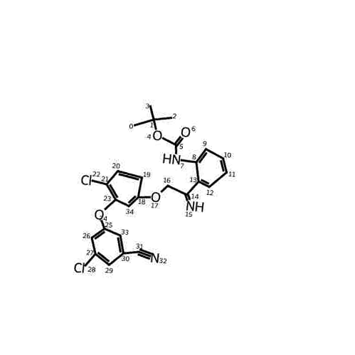 CC(C)(C)OC(=O)Nc1ccccc1C(=N)COc1ccc(Cl)c(Oc2cc(Cl)cc(C#N)c2)c1